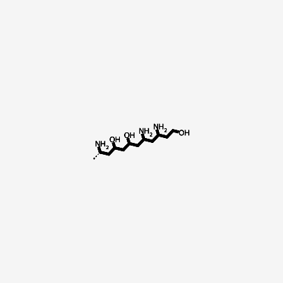 C[C@H](N)CC(O)CC(O)CC(N)CC(N)CCO